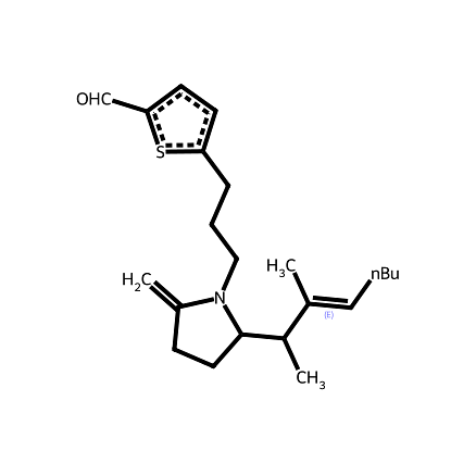 C=C1CCC(C(C)/C(C)=C/CCCC)N1CCCc1ccc(C=O)s1